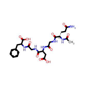 CC(=O)N[C@@H](CCC(N)=O)C(=O)NCC(=O)NC(CC(=O)O)C(=O)NCC(=O)NC(Cc1ccccc1)C(=O)O